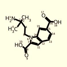 CC(C)(N)CCn1c(C(=O)O)cc2ccc(C(=O)O)cc21